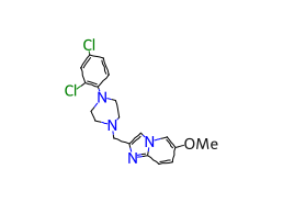 COc1ccc2nc(CN3CCN(c4ccc(Cl)cc4Cl)CC3)cn2c1